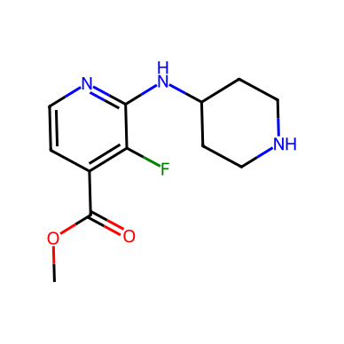 COC(=O)c1ccnc(NC2CCNCC2)c1F